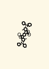 Cc1cc(N(c2ccccc2)c2ccccc2)cc2oc(=O)c3cc4c(cc3c12)c(=O)oc1cc(N(c2ccccc2)c2ccccc2)cc(C)c14